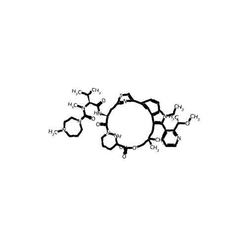 CCn1c(-c2cccnc2[C@H](C)OC)c2c3cc(ccc31)-c1csc(n1)C[C@H](NC(=O)[C@H](C(C)C)N(C)C(=O)N1CCCN(C)CC1)C(=O)N1CCC[C@@](O)(N1)C(=O)OCC(C)(C)C2